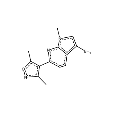 Bc1cn(C)c2nc(-c3c(C)noc3C)ccc12